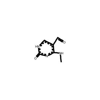 CNc1nc(=O)[nH]cc1C=O